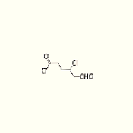 O=CCC(Cl)CCC(=O)Cl